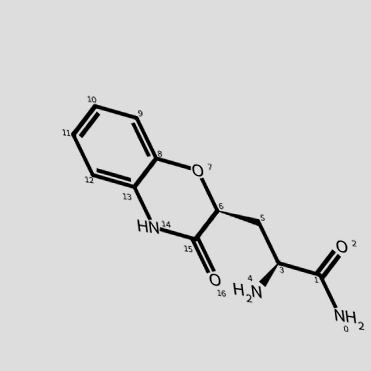 NC(=O)[C@@H](N)C[C@@H]1Oc2ccccc2NC1=O